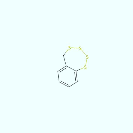 c1ccc2c(c1)CSSSS2